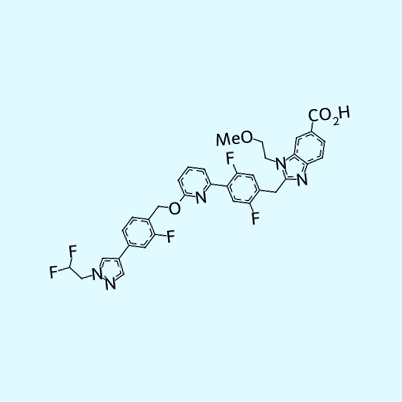 COCCn1c(Cc2cc(F)c(-c3cccc(OCc4ccc(-c5cnn(CC(F)F)c5)cc4F)n3)cc2F)nc2ccc(C(=O)O)cc21